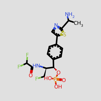 CC(N)c1ncc(-c2ccc([C@@H](OP(=O)(O)O)[C@@H](CF)NC(=O)C(F)F)cc2)s1